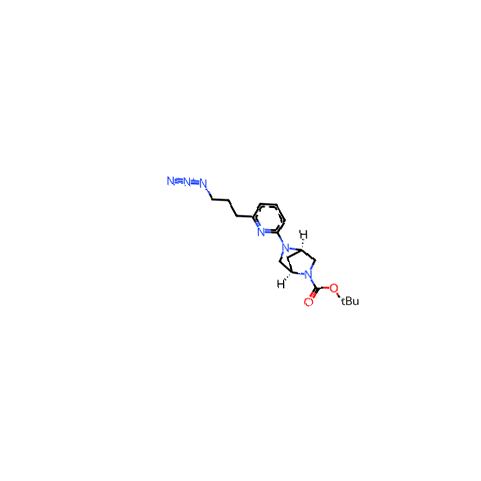 CC(C)(C)OC(=O)N1C[C@H]2C[C@@H]1CN2c1cccc(CCCN=[N+]=[N-])n1